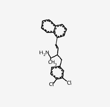 CC(N)C(C=Cc1cccc2ccccc12)Cc1ccc(Cl)c(Cl)c1